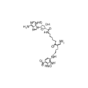 NC=C(CCCCNc1ccc([N+](=O)[O-])c2c1NON2)C(=O)CCCCCNC(=O)[C@H]1O[C@@H](n2cnc3c(N)ncnc32)[C@H](O)[C@@H]1O